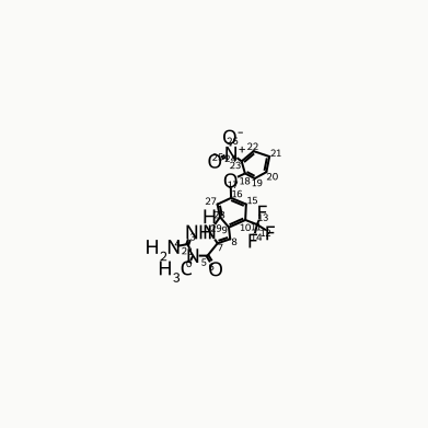 CN(C(=N)N)C(=O)c1cc2c(C(F)(F)F)cc(Oc3ccccc3[N+](=O)[O-])cc2[nH]1